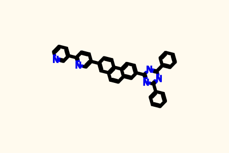 c1ccc(-c2nc(-c3ccccc3)nc(-c3ccc4c(ccc5cc(-c6ccc(-c7cccnc7)nc6)ccc54)c3)n2)cc1